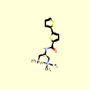 C[N+](C)(C)C[C@@H](CC(=O)O)NC(=O)c1ccc(-c2cccs2)s1